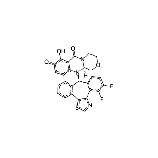 O=C1c2c(O)c(=O)ccn2N([C@@H]2c3ccccc3-c3scnc3-c3c2ccc(F)c3F)[C@@H]2COCCN12